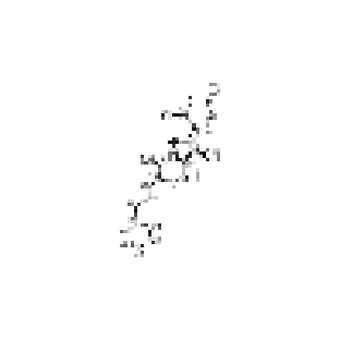 N#Cc1c(-c2ccc(Cl)cc2Cl)nn2c(=O)c(CCCc3ccccc3)c[nH]c12